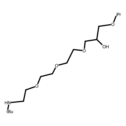 CC(C)OCC(O)COCCOCCOCCNC(C)(C)C